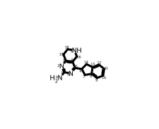 Nc1nc2c(c(C3Cc4ccccc4C3)n1)CNCC2